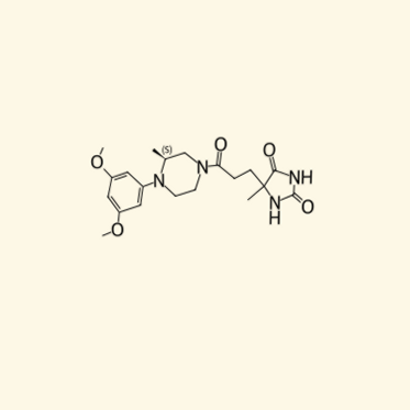 COc1cc(OC)cc(N2CCN(C(=O)CCC3(C)NC(=O)NC3=O)C[C@@H]2C)c1